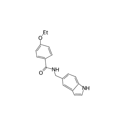 CCOc1ccc(C(=O)NCc2ccc3[nH]ccc3c2)cc1